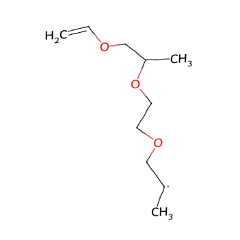 C=COCC(C)OCCOC[CH]C